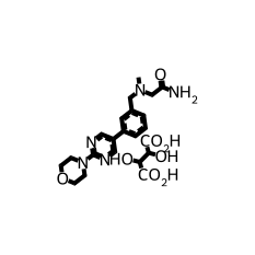 CN(CC(N)=O)Cc1cccc(-c2cnc(N3CCOCC3)nc2)c1.O=C(O)C(O)C(O)C(=O)O